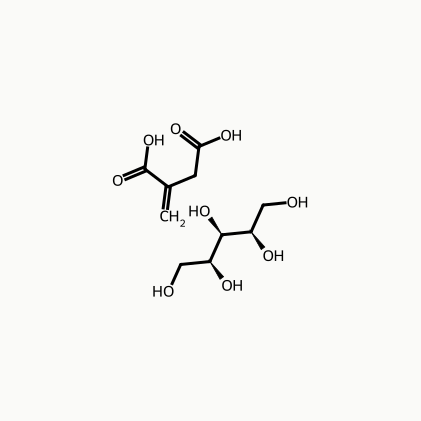 C=C(CC(=O)O)C(=O)O.OC[C@@H](O)[C@H](O)[C@@H](O)CO